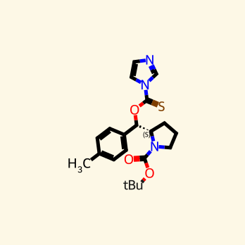 Cc1ccc(C(OC(=S)n2ccnc2)[C@@H]2CCCN2C(=O)OC(C)(C)C)cc1